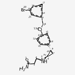 NC(=O)CCN[C@@H]1C[C@H]1c1ccc(OCc2cccc(Br)c2)cc1